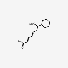 COC(C/C=C/C=C/C(=O)Cl)C1CCCCC1